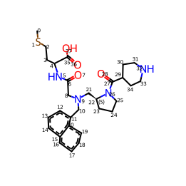 CSCCC(NC(=O)CN(Cc1cccc2ccccc12)C[C@@H]1CCCN1C(=O)C1CCNCC1)C(=O)O